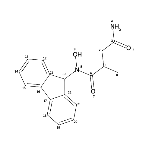 CC(CC(N)=O)C(=O)N(O)C1c2ccccc2-c2ccccc21